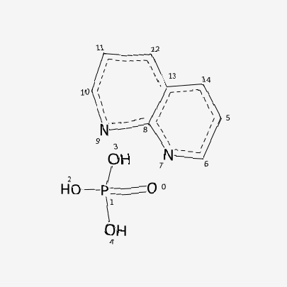 O=P(O)(O)O.c1cnc2ncccc2c1